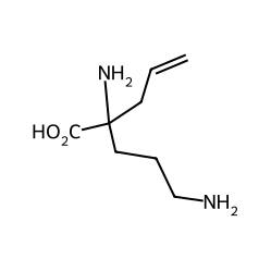 C=CCC(N)(CCCN)C(=O)O